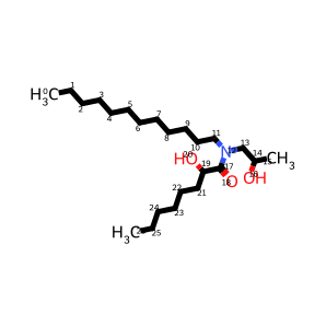 CCCCCCCCCCCCN(CC(C)O)C(=O)C(O)CCCCCC